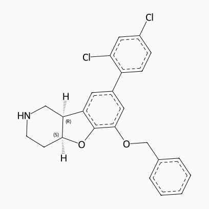 Clc1ccc(-c2cc(OCc3ccccc3)c3c(c2)[C@@H]2CNCC[C@@H]2O3)c(Cl)c1